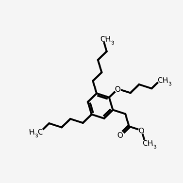 CCCCCc1cc(CCCCC)c(OCCCC)c(CC(=O)OC)c1